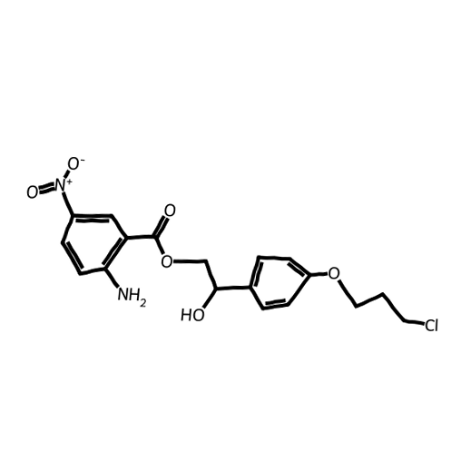 Nc1ccc([N+](=O)[O-])cc1C(=O)OCC(O)c1ccc(OCCCCl)cc1